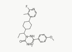 CCC(C1CCC(c2ccnc(F)c2C)CC1)N(NC(=O)c1ccc(OC)cc1)C(N)=O